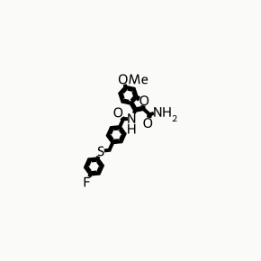 COc1ccc2c(NC(=O)c3ccc(CSc4ccc(F)cc4)cc3)c(C(N)=O)oc2c1